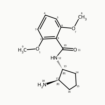 COc1cccc(OC)c1C(=O)N[C@@H]1CCC[C@H]1N